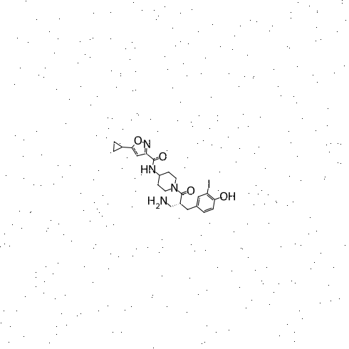 NC[C@@H](Cc1ccc(O)c(I)c1)C(=O)N1CCC(NC(=O)c2cc(C3CC3)on2)CC1